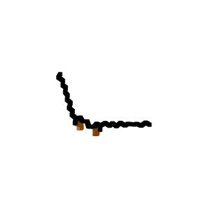 CCCCCCCCCCCCc1csc(C=Cc2cc(CCCCCCCCCCCC)cs2)c1